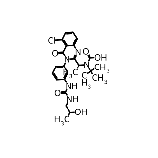 CC(O)CNC(=O)Nc1cccc(-n2c([C@H](C)N(C(=O)O)C(C)(C)C)nc3cccc(Cl)c3c2=O)c1